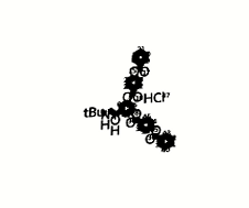 CC(C)(C)NCC(O)c1cc(OC(=O)c2ccc(OC(=O)c3ccccc3)cc2)cc(OC(=O)c2ccc(OC(=O)c3ccccc3)cc2)c1.Cl